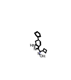 O/N=C(/c1n[nH]c2c1C=CC(c1ccccc1)C2)C1CCC1